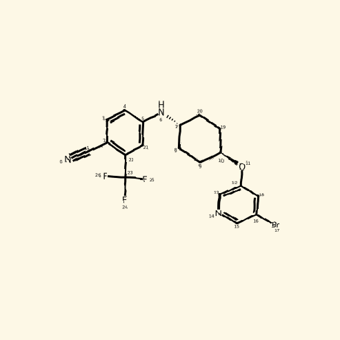 N#Cc1ccc(N[C@H]2CC[C@H](Oc3cncc(Br)c3)CC2)cc1C(F)(F)F